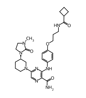 CN1CCN([C@@H]2CCCN(c3cnc(C(N)=O)c(Nc4ccc(OCCCNC(=O)C5CCC5)cc4)n3)C2)C1=O